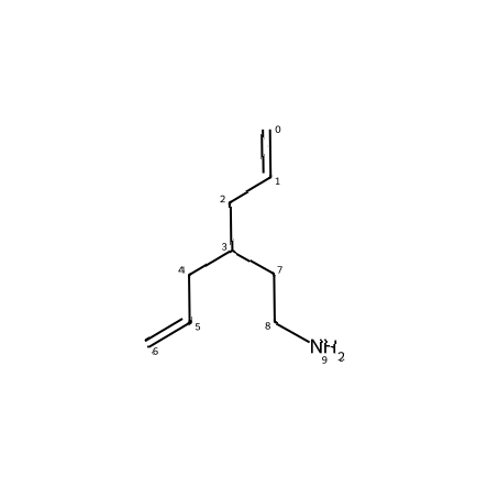 C=CCC(CC=C)CCN